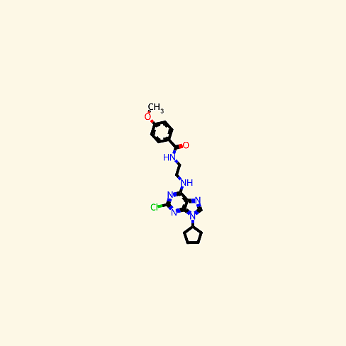 COc1ccc(C(=O)NCCNc2nc(Cl)nc3c2ncn3C2CCCC2)cc1